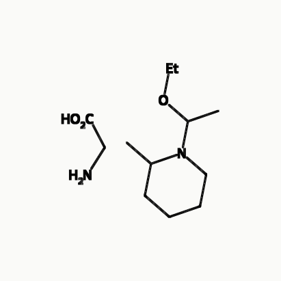 CCOC(C)N1CCCCC1C.NCC(=O)O